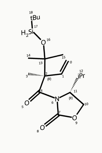 C=C[C@@](C)(C(=O)N1C(=O)OC[C@H]1C(C)C)C(C)(C)O[SiH2]C(C)(C)C